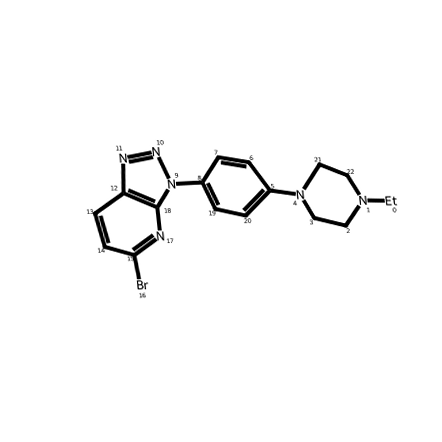 CCN1CCN(c2ccc(-n3nnc4ccc(Br)nc43)cc2)CC1